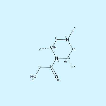 C[C@@H]1CN(I)C[C@H](C)N1C(=O)CO